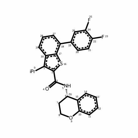 CC(C)c1c(C(=O)N[C@H]2CCOc3ccccc32)sc2c(-c3ccc(F)c(F)c3)cccc12